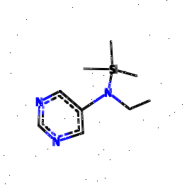 CCN(c1cncnc1)[Si](C)(C)C